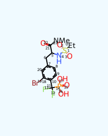 CCS(=O)(=O)NC(Cc1ccc(C(F)(F)P(=O)(O)O)c(Br)c1)C(=O)NC